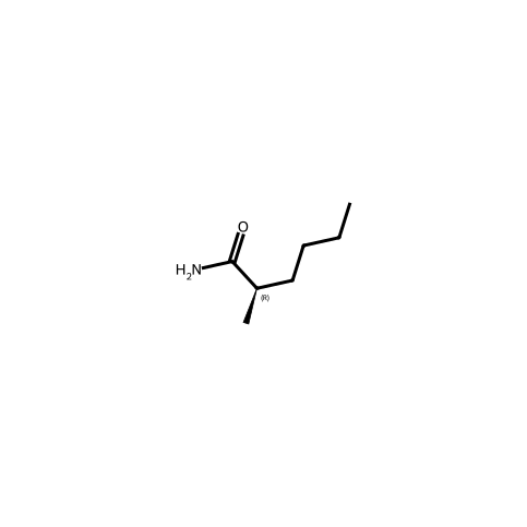 CCCC[C@@H](C)C(N)=O